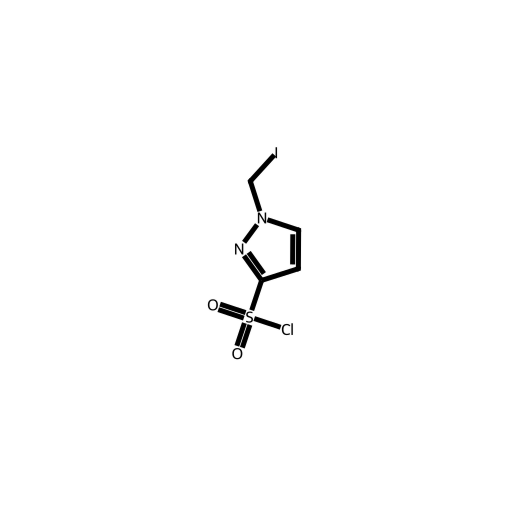 O=S(=O)(Cl)c1ccn(CI)n1